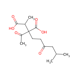 CC(=O)C(CCC(=O)CC(C)C)(C(=O)O)C(C)C(=O)O